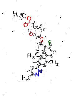 COC(=O)CC1COc2cc(O[C@@H]3CCc4c(-c5c(C)cc(-c6ccc(C)nn6)cc5C)ccc(F)c43)ccc21